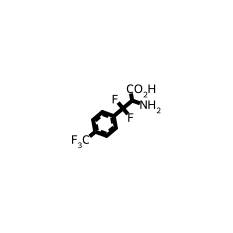 NC(C(=O)O)C(F)(F)c1ccc(C(F)(F)F)cc1